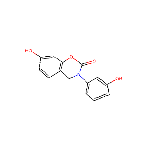 O=C1Oc2cc(O)ccc2CN1c1cccc(O)c1